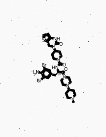 CN1CCC(N2CCN(C(=O)[C@@H](Cc3cc(Br)c(N)c(Br)c3)NC(=O)N3CCC(N4Cc5sccc5NC4=O)CC3)CC2)CC1